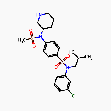 CC(C)CN(c1cccc(Cl)c1)S(=O)(=O)c1ccc(N([C@H]2CCCNC2)S(C)(=O)=O)cc1